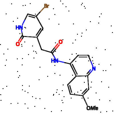 COc1ccc2c(NC(=O)Cc3cc(Br)c[nH]c3=O)ccnc2c1